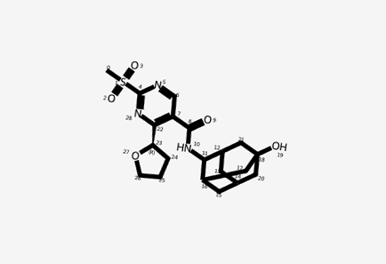 CS(=O)(=O)c1ncc(C(=O)NC2C3CC4CC2CC(O)(C4)C3)c([C@H]2CCCO2)n1